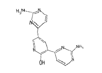 Nc1nccc(-c2cnc(O)c(-c3ccnc(N)n3)c2)n1